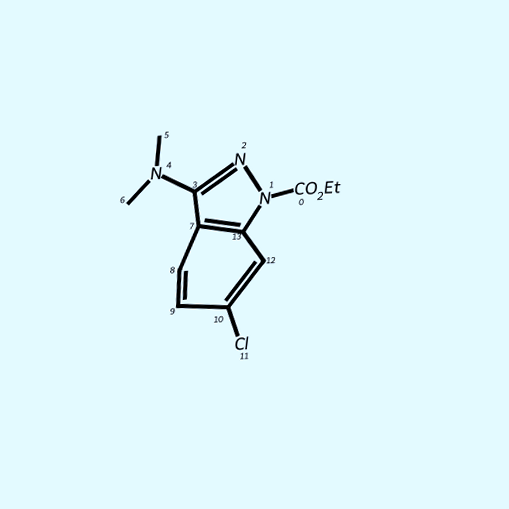 CCOC(=O)n1nc(N(C)C)c2ccc(Cl)cc21